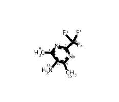 Cc1nc(C(F)(F)F)nc(C)c1N